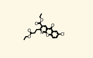 CCOC(=O)CCc1nc2oc3ccc(Cl)cc3c(=O)c2cc1C(=O)OCC